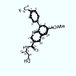 COc1cc(-c2ccc(C(F)(F)F)cc2)c2ncc(C(=O)N[C@H](C)CO)cc2c1